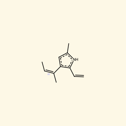 C=Cc1[nH]c(C)cc1/C(C)=C\C